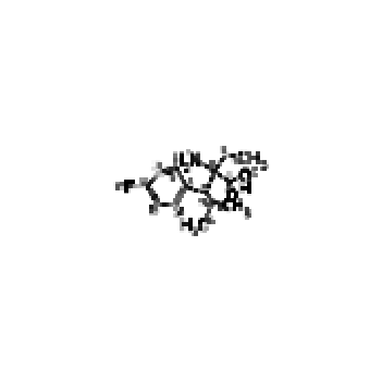 CCC(N)(C(=O)O)C(c1ccc(F)cc1)C(C)C